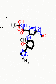 BC(O)(O)NC(=O)c1nnc(NC=O)cc1Nc1cccc(-c2ncn(C)n2)c1OC